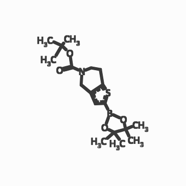 CC(C)(C)OC(=O)N1CCc2sc(B3OC(C)(C)C(C)(C)O3)cc2C1